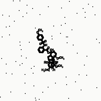 COc1ccc(S(=O)(=O)Nc2ccccc2C(=O)OC2(C)CC[C@H](OC)C34NC(CC23)[C@@]2(O)C[C@H](OC)[C@H]3CC4[C@]2(O)[C@H]3OC)cc1